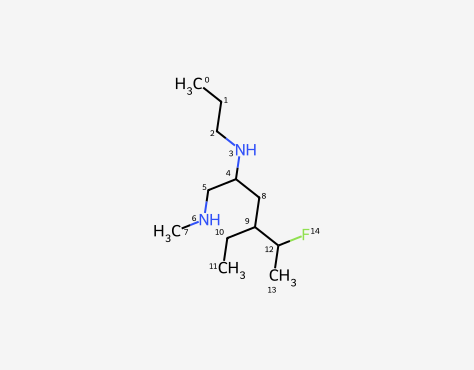 CCCNC(CNC)CC(CC)C(C)F